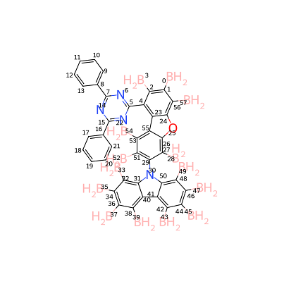 Bc1c(B)c(-c2nc(-c3ccccc3)nc(-c3ccccc3)n2)c2c(oc3c(B)c(-n4c5c(B)c(B)c(B)c(B)c5c5c(B)c(B)c(B)c(B)c54)c(B)c(B)c32)c1B